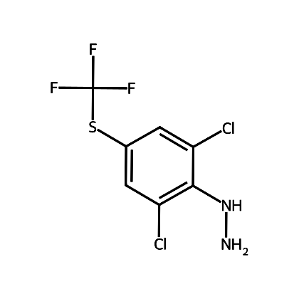 NNc1c(Cl)cc(SC(F)(F)F)cc1Cl